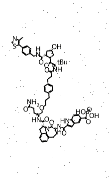 Cc1ncsc1-c1ccc(CNC(=O)[C@@H]2C[C@@H](O)CC2C(=O)[C@@H](NC(=O)CCc2ccc(CCCOC[C@H](CCC(N)=O)NC(=O)[C@@H]3Cc4cccc5c4N3C(=O)[C@@H](NC(=O)c3cc4cc(C(=O)P(=O)(O)O)ccc4[nH]3)CC5)cc2)C(C)(C)C)cc1